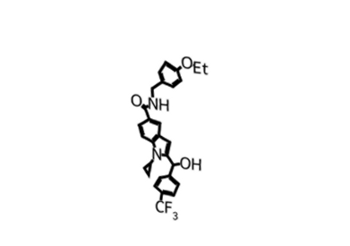 CCOc1ccc(CNC(=O)c2ccc3c(c2)cc(C(O)c2ccc(C(F)(F)F)cc2)n3C2CC2)cc1